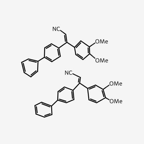 COc1ccc(C(=CC#N)c2ccc(-c3ccccc3)cc2)cc1OC.COc1ccc(C(=CC#N)c2ccc(-c3ccccc3)cc2)cc1OC